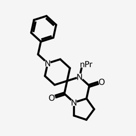 CCCN1C(=O)C2CCCN2C(=O)C12CCN(Cc1ccccc1)CC2